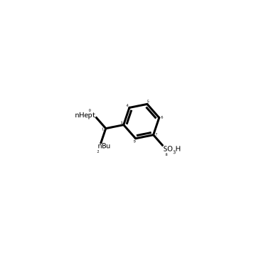 CCCCCCCC(CCCC)c1cccc(S(=O)(=O)O)c1